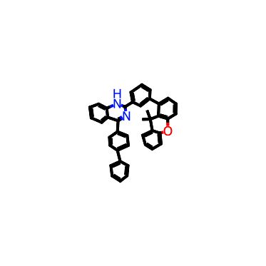 CC1(C)c2ccccc2Oc2cccc(-c3cccc(C4N=C(c5ccc(-c6ccccc6)cc5)c5ccccc5N4)c3)c21